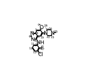 COc1cc2ncnc(Nc3cccc(Cl)c3F)c2cc1N1CCN(C)C[C@H]1C